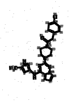 Cc1cc(Nc2nc(N3CCN(C(=O)Cc4ccc(Cl)cc4)CC3)nn3cccc23)n[nH]1